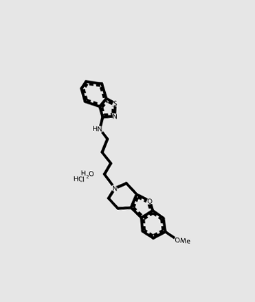 COc1ccc2c3c(oc2c1)CN(CCCCNc1nsc2ccccc12)CC3.Cl.O